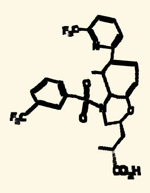 CC1C(c2cccc(C(F)(F)F)n2)=CC=C2O[C@@H](C[C@@H](C)C(=O)O)CN(S(=O)(=O)c3cccc(C(F)(F)F)c3)C21